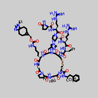 CCCC[C@@H]1NC(=O)[C@@H]2CCCN2C(=O)CNC(=O)[C@H](CCCCNC(=O)OC[C@H]2C3CCc4nnn(CC)c4CCC32)NC(=O)[C@H](Cc2c[nH]cn2)NC(=O)[C@@H](NC(=O)[C@H](CC(C)C)NC(=O)[C@H](CCCNC(=N)N)NC(=O)[C@@H]2CCCN2C(=O)[C@H](CCCNC(=N)N)NC(=O)[C@@H]2CCC(=O)N2)CSSC[C@@H](C(=O)N[C@@H](Cc2ccccc2)C(=O)O)NC1=O